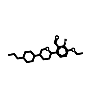 CCCC1CCC(C2CCC(c3ccc(OCC)c(F)c3C=O)OC2)CC1